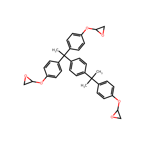 CC(C)(c1ccc(OC2CO2)cc1)c1ccc(C(C)(c2ccc(OC3CO3)cc2)c2ccc(OC3CO3)cc2)cc1